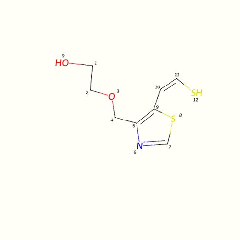 OCCOCc1ncsc1/C=C\S